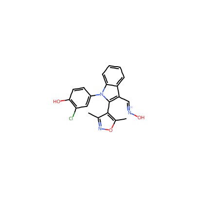 Cc1noc(C)c1-c1c(/C=N/O)c2ccccc2n1-c1ccc(O)c(Cl)c1